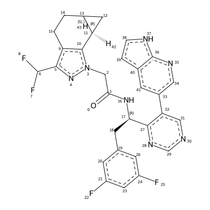 O=C(Cn1nc(C(F)F)c2c1[C@@H]1C[C@@H]1CC2)N[C@H](Cc1cc(F)cc(F)c1)c1ncncc1-c1cnc2[nH]ccc2c1